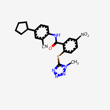 Cn1nnnc1Sc1ccc([N+](=O)[O-])cc1C(=O)Nc1ccc(C2CCCC2)cc1C#N